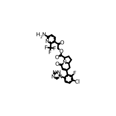 Nc1ccc(C(=O)COC(=O)C2CCC3CC(c4c(-n5cnnn5)ccc(Cl)c4F)=CC(=O)N32)c(C(F)(F)F)n1